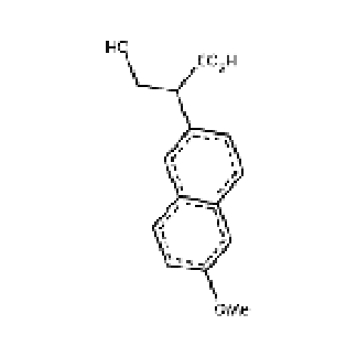 COc1ccc2cc(C(CO)C(=O)O)ccc2c1